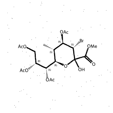 COC(=O)C1(O)O[C@@H]([C@H](OC(C)=O)[C@@H](COC(C)=O)OC(C)=O)[C@H](C)[C@@H](OC(C)=O)[C@@H]1Br